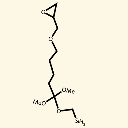 COC(CCCCOCC1CO1)(OC)OC[SiH3]